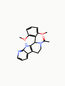 COc1cccc(OC)c1C1c2[nH]c3ncccc3c2CCN1C(C)=O